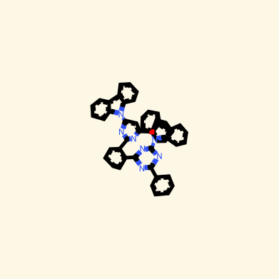 c1ccc(-c2cc(-n3c4ccccc4c4ccccc43)nc(-c3ccccc3-c3nc(-c4ccccc4)nc(-n4c5ccccc5c5ccccc54)n3)n2)cc1